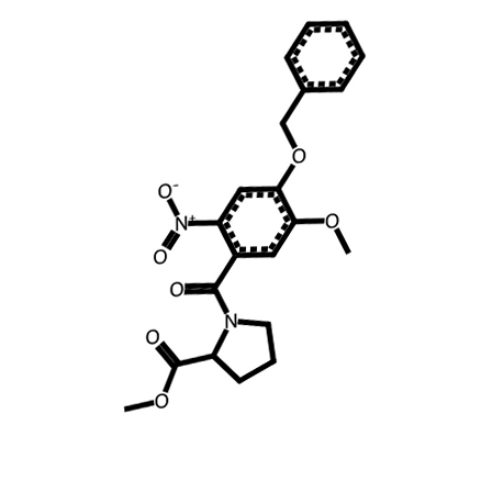 COC(=O)C1CCCN1C(=O)c1cc(OC)c(OCc2ccccc2)cc1[N+](=O)[O-]